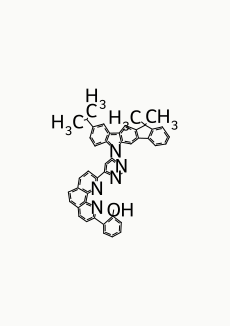 CC(C)c1ccc2c(c1)c1cc3c(cc1n2-c1cc(-c2ccc4ccc5ccc(-c6ccccc6O)nc5c4n2)ncn1)-c1ccccc1C3(C)C